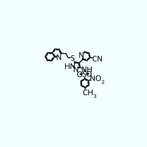 Cc1ccc(S(=O)(=O)Nc2n[nH]c(SCCc3ccc4ccccc4n3)c2-c2cc(C#N)ccn2)c([N+](=O)[O-])c1